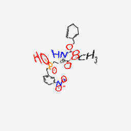 COC(=O)[C@H](CCP(=O)(O)Cc1cccc([N+](=O)[O-])c1)NC(=O)OCC1=CCCC=C1